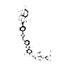 CCO[C@H](C)n1cc(-c2ncn3nc(Nc4ccc(S(=O)(=O)c5cccc(CC6CC(c7ccc(C(=O)N[C@@H]8CCC(=O)NC8=O)cc7)C6)c5)cc4F)nc3c2OC(C)C)cn1